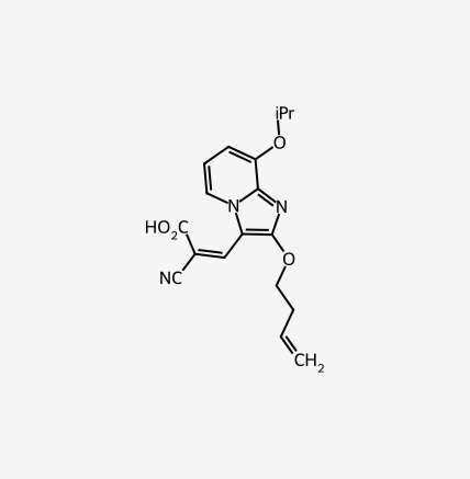 C=CCCOc1nc2c(OC(C)C)cccn2c1C=C(C#N)C(=O)O